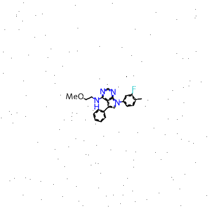 COCCNc1ncnc2c1c(-c1ccccc1)cn2-c1ccc(C)c(F)c1